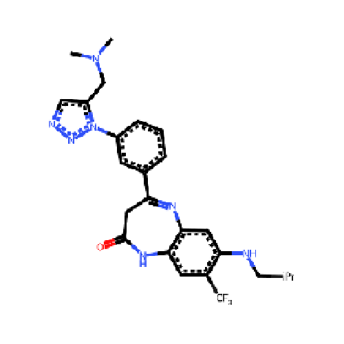 CC(C)CNc1cc2c(cc1C(F)(F)F)NC(=O)CC(c1cccc(-n3nncc3CN(C)C)c1)=N2